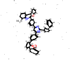 CC1CC=Cc2c1nc(-c1ccc(-c3cc(-c4ccc(-c5cccc6c5oc5ccccc56)cc4)nc(-c4cccc(-c5ccccc5)c4)n3)cc1)c1oc3ccccc3c21